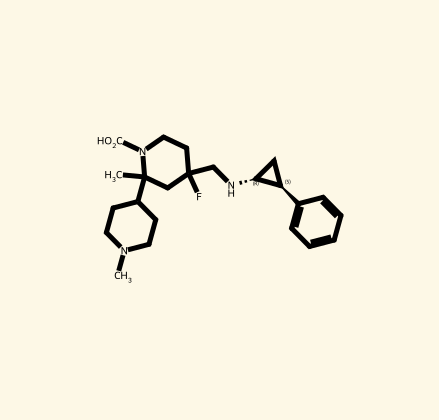 CN1CCC(C2(C)CC(F)(CN[C@@H]3C[C@H]3c3ccccc3)CCN2C(=O)O)CC1